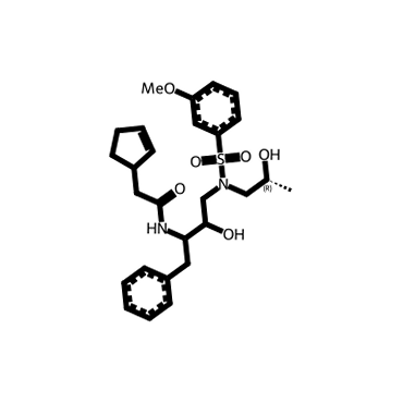 COc1cccc(S(=O)(=O)N(CC(O)C(Cc2ccccc2)NC(=O)CC2C=CCC2)C[C@@H](C)O)c1